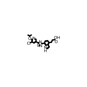 CC(C)Oc1ncc(-c2nc(-c3ccc(CCC(=O)O)c4cc[nH]c34)no2)cc1Cl